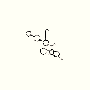 CC#Cc1cc2c(cc1N1CCC(N3CCCC3)CC1)C1(CCOCC1)c1[nH]c3cc(N)ccc3c1C2=O